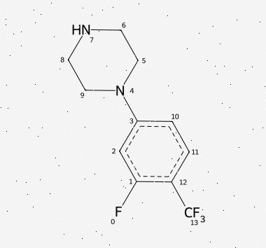 Fc1cc(N2CCNCC2)ccc1C(F)(F)F